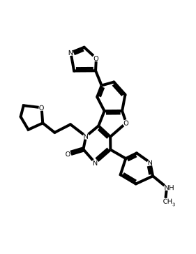 CNc1ccc(-c2nc(=O)n(CCC3CCCO3)c3c2oc2ccc(-c4cnco4)cc23)cn1